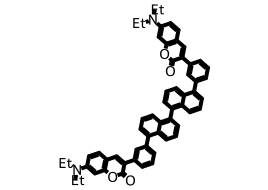 CCN(CC)c1ccc2cc(-c3cccc(-c4cccc5c(-c6cccc7c(-c8cccc(-c9cc%10ccc(N(CC)CC)cc%10oc9=O)c8)cccc67)cccc45)c3)c(=O)oc2c1